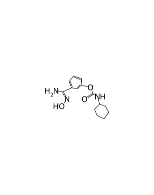 N/C(=N\O)c1cccc(OC(=O)NC2CCCCC2)c1